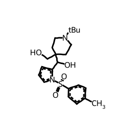 Cc1ccc(S(=O)(=O)n2cccc2C(O)C2(CO)CCN(C(C)(C)C)CC2)cc1